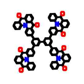 O=c1c2ccccc2n2c3ccc(-c4cc(-c5cc(-c6ccc7c(c6)c(=O)c6cccc8c(=O)c9ccccc9n7c86)cc(-c6ccc7c(c6)c(=O)c6cccc8c(=O)c9ccccc9n7c86)c5)cc(-c5ccc6c(c5)c(=O)c5cccc7c(=O)c8ccccc8n6c75)c4)cc3c(=O)c3cccc1c32